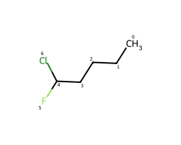 CCCCC(F)Cl